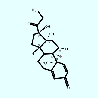 CCC(=O)[C@@]1(O)CC[C@H]2C3CCC4=CC(=O)C=C[C@]4(C)[C@@H]3[C@@H](O)C[C@@]21C